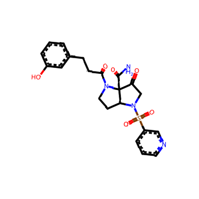 NC(=O)C12C(=O)CN(S(=O)(=O)c3cccnc3)C1CCN2C(=O)[CH]Cc1cccc(O)c1